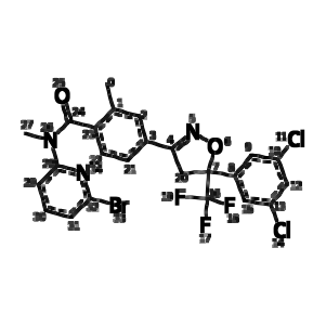 Cc1cc(C2=NOC(c3cc(Cl)cc(Cl)c3)(C(F)(F)F)C2)ccc1C(=O)N(C)c1cccc(Br)n1